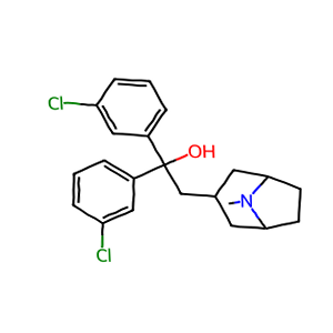 CN1C2CCC1CC(CC(O)(c1cccc(Cl)c1)c1cccc(Cl)c1)C2